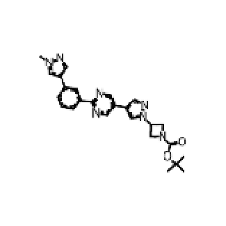 Cn1cc(-c2cccc(-c3ncc(-c4cnn(C5CN(C(=O)OC(C)(C)C)C5)c4)cn3)c2)cn1